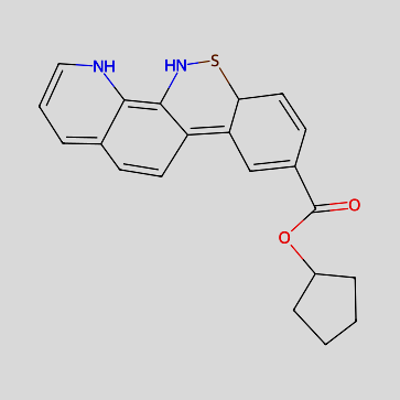 O=C(OC1CCCC1)C1=CC2=c3ccc4c(c3NSC2C=C1)NC=CC=4